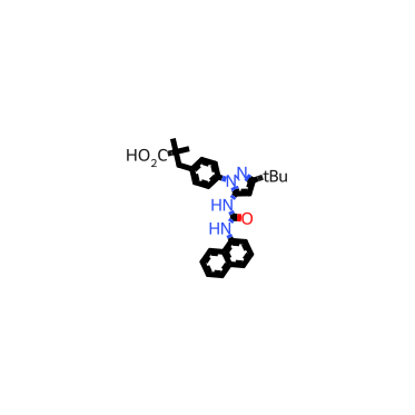 CC(C)(Cc1ccc(-n2nc(C(C)(C)C)cc2NC(=O)Nc2cccc3ccccc23)cc1)C(=O)O